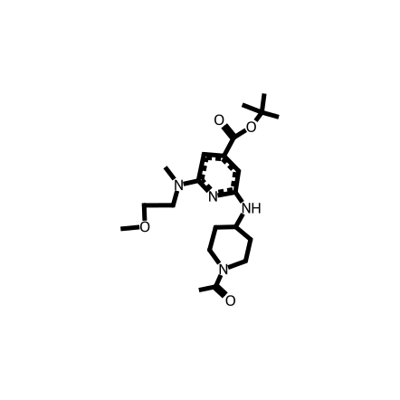 COCCN(C)c1cc(C(=O)OC(C)(C)C)cc(NC2CCN(C(C)=O)CC2)n1